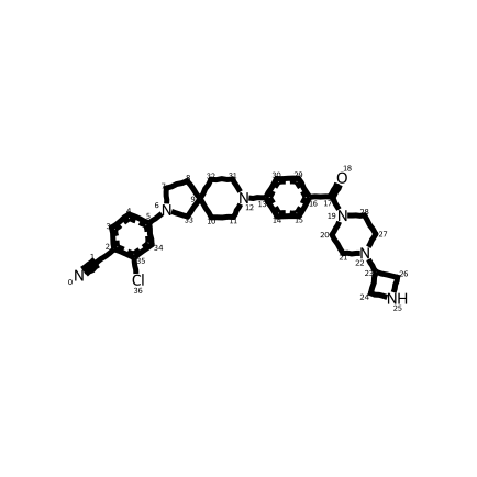 N#Cc1ccc(N2CCC3(CCN(c4ccc(C(=O)N5CCN(C6CNC6)CC5)cc4)CC3)C2)cc1Cl